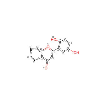 O=c1cc(-c2cc(O)ccc2O)oc2ccccc12